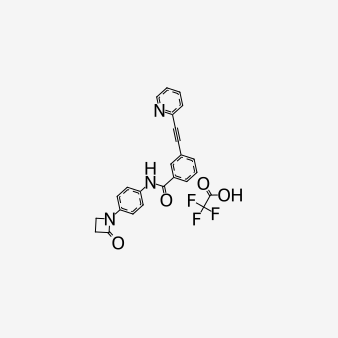 O=C(Nc1ccc(N2CCC2=O)cc1)c1cccc(C#Cc2ccccn2)c1.O=C(O)C(F)(F)F